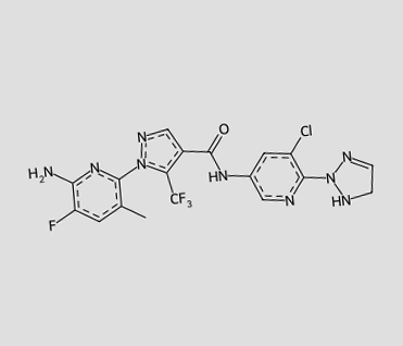 Cc1cc(F)c(N)nc1-n1ncc(C(=O)Nc2cnc(N3N=CCN3)c(Cl)c2)c1C(F)(F)F